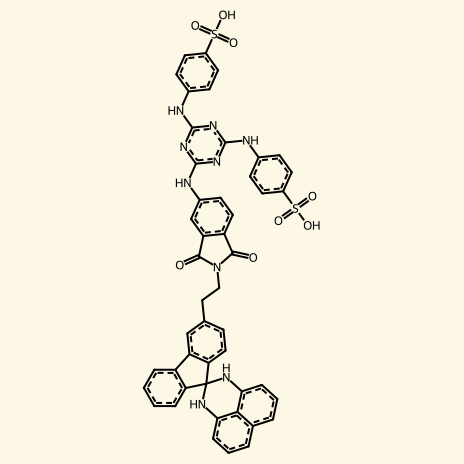 O=C1c2ccc(Nc3nc(Nc4ccc(S(=O)(=O)O)cc4)nc(Nc4ccc(S(=O)(=O)O)cc4)n3)cc2C(=O)N1CCc1ccc2c(c1)-c1ccccc1C21Nc2cccc3cccc(c23)N1